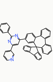 c1ccc(-c2nc(-c3cccnc3)cc(-c3ccc4c(c3)C3(c5ccccc5-c5ccccc5-4)c4ccccc4-c4ccccc43)n2)cc1